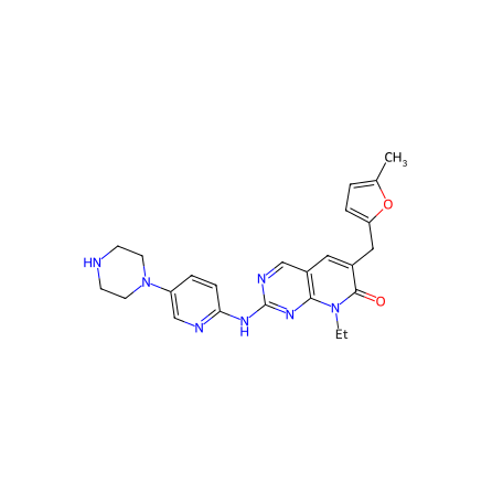 CCn1c(=O)c(Cc2ccc(C)o2)cc2cnc(Nc3ccc(N4CCNCC4)cn3)nc21